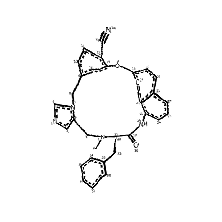 CN1Cc2cncn2Cc2ccc(C#N)c(c2)Oc2ccc3cccc(c3c2)NC(=O)[C@H]1Cc1ccccc1